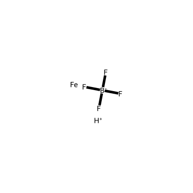 F[B-](F)(F)F.[Fe].[H+]